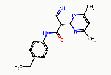 CCc1ccc(NC(=O)/C(C=N)=C2\N=C(C)C=C(C)N2)cc1